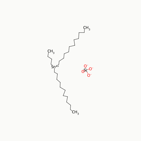 CCCCCCCCCCC[CH2][Sn+4]([CH2]CCC)[CH2]CCCCCCCCCCC.[O-][Si]([O-])([O-])[O-]